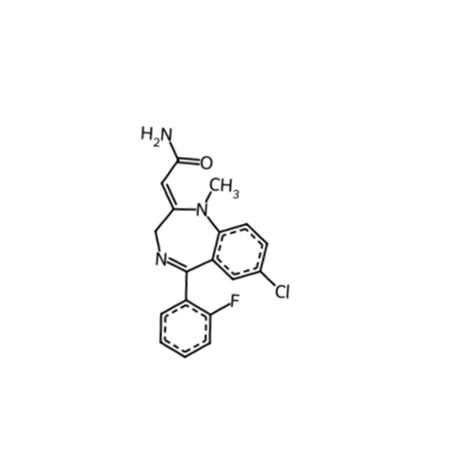 CN1C(=CC(N)=O)CN=C(c2ccccc2F)c2cc(Cl)ccc21